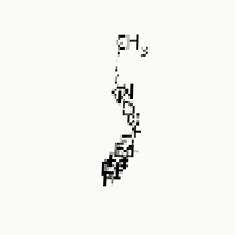 CCCCCCCCc1cnc(-c2ccc(OC[C@H](F)CCC(F)(F)C(F)(F)C(F)(F)C(F)(F)C(F)(F)C(F)(F)F)cc2)nc1